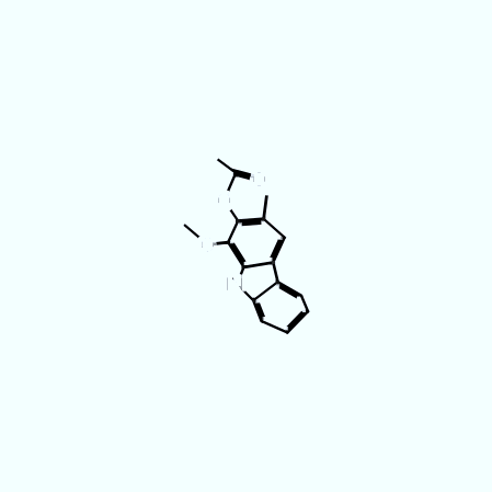 COc1c(OC(C)=O)c(C)cc2c1[nH]c1ccccc12